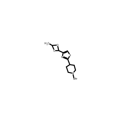 CCCN1CCC(c2nc(C3OC(C)O3)cs2)CC1